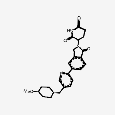 CO[C@H]1CC[C@@H](Cc2ccc(-c3ccc4c(c3)CN(C3CCC(=O)NC3=O)C4=O)nc2)CC1